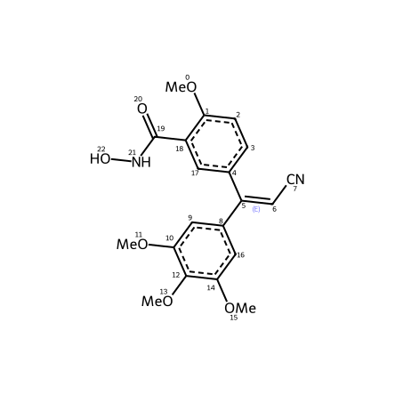 COc1ccc(/C(=C\C#N)c2cc(OC)c(OC)c(OC)c2)cc1C(=O)NO